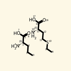 CCC[C@H](N)C(=O)O.CCSCC[C@H](N)C(=O)O